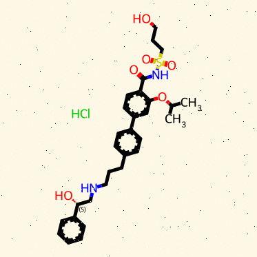 CC(C)Oc1cc(-c2ccc(CCCNC[C@@H](O)c3ccccc3)cc2)ccc1C(=O)NS(=O)(=O)CCCO.Cl